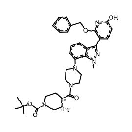 Cn1nc(-c2ccc(O)nc2OCc2ccccc2)c2cccc(N3CCN(C(=O)[C@@H]4CCN(C(=O)OC(C)(C)C)C[C@H]4F)CC3)c21